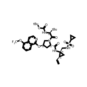 C=C[C@@H]1C[C@@]1(CNS(=O)(=O)C1CC1)NC(=O)[C@@H]1C[C@@H](Oc2nccc3c(OC(F)(F)F)cccc23)CN1C(=O)[C@@H](NC(=O)OC(C)(C)C)C(C)(C)C